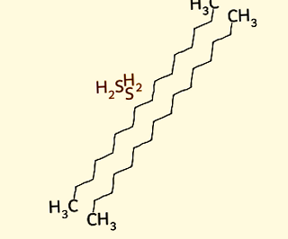 CCCCCCCCCCCCCCCC.CCCCCCCCCCCCCCCC.S.S